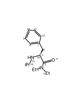 CCN(CC)C(=O)[C@H](Cc1ccccc1)NC(C)C